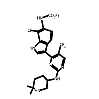 CCOC(=O)Nc1ccc2c(-c3nc(NC4CCC(C)(C)NC4)ncc3C(F)(F)F)c[nH]c2c1Cl